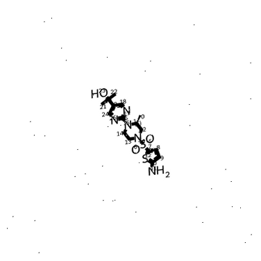 C[C@H]1CN(S(=O)(=O)c2ccc(N)s2)CCN1c1ncc(C(C)(C)O)cn1